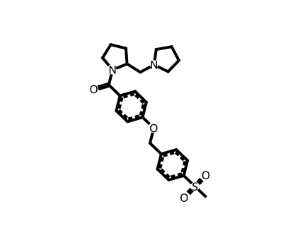 CS(=O)(=O)c1ccc(COc2ccc(C(=O)N3CCCC3CN3CCCC3)cc2)cc1